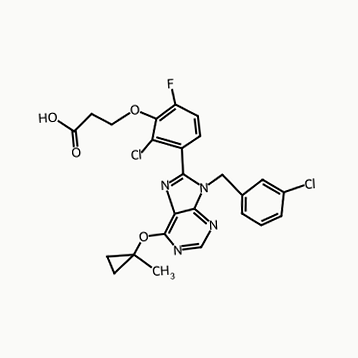 CC1(Oc2ncnc3c2nc(-c2ccc(F)c(OCCC(=O)O)c2Cl)n3Cc2cccc(Cl)c2)CC1